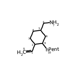 C=CC1CCC(CN)CC1CCCCC